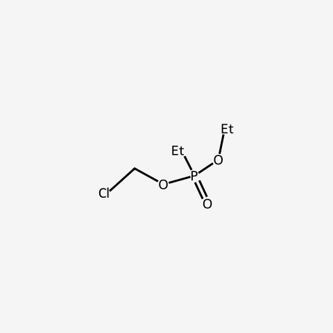 CCOP(=O)(CC)OCCl